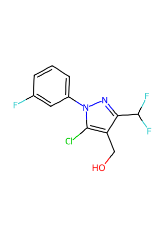 OCc1c(C(F)F)nn(-c2cccc(F)c2)c1Cl